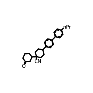 CCCc1ccc(-c2ccc(C3CCC(C#N)(C4CCCC(=O)C4)CC3)cc2)cc1